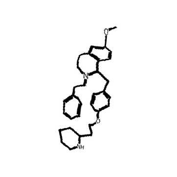 COc1ccc2c(c1)CCN(CCc1ccccc1)C2Cc1ccc(OCCC2CCCCN2)cc1